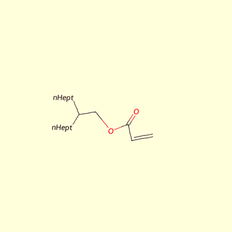 C=CC(=O)OCC(CCCCCCC)CCCCCCC